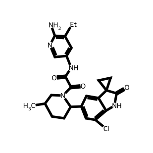 CCc1cc(NC(=O)C(=O)N2CC(C)CCC2c2cc(Cl)c3c(c2)C2(CC2)C(=O)N3)cnc1N